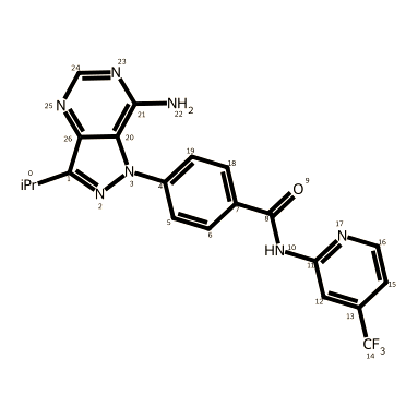 CC(C)c1nn(-c2ccc(C(=O)Nc3cc(C(F)(F)F)ccn3)cc2)c2c(N)ncnc12